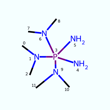 CN(C)P(N)(N)(N(C)C)N(C)C